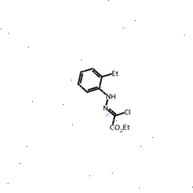 CCOC(=O)/C(Cl)=N/Nc1ccccc1CC